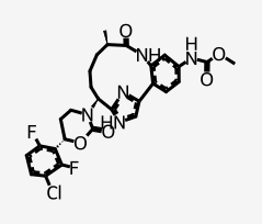 COC(=O)Nc1ccc2c(c1)NC(=O)[C@H](C)CCC[C@H](N1CC[C@@H](c3c(F)ccc(Cl)c3F)OC1=O)c1nc-2c[nH]1